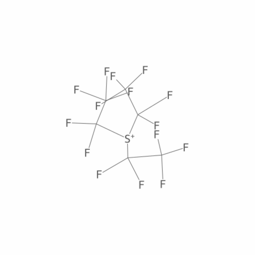 FC(F)(F)C(F)(F)[S+](C(F)(F)C(F)(F)F)C(F)(F)C(F)(F)F